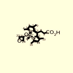 CC1=CC(C)=[N+]2C1=C(CCC(=O)O)c1c(C)cc(C)n1[B-]2(F)OC1COC1